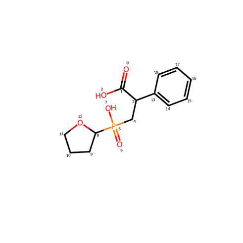 O=C(O)C(CP(=O)(O)C1CCCO1)c1ccccc1